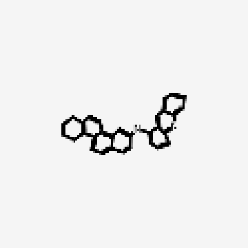 c1ccc2nc3cccc(Nc4ccc5ccc6c7c(ccc6c5c4)CCCC7)c3cc2c1